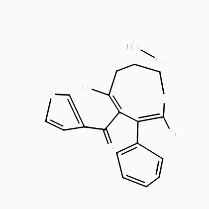 CCC1=C(c2ccccc2)C(C(=O)c2ccsc2)=C(O)CCCC1.O=CO